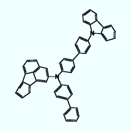 c1ccc(-c2ccc(N(c3ccc(-c4ccc(-n5c6ccccc6c6ccccc65)cc4)cc3)c3cc4c5c(cccc5c3)-c3ccccc3-4)cc2)cc1